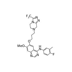 COc1cc2ncnc(Nc3ccc(F)c(C)c3)c2cc1OCCCN1CCn2c(nnc2C(F)(F)F)C1